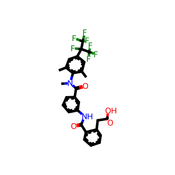 Cc1cc(C(F)(C(F)(F)F)C(F)(F)F)cc(C)c1N(C)C(=O)c1cccc(NC(=O)c2ccccc2CC(=O)O)c1